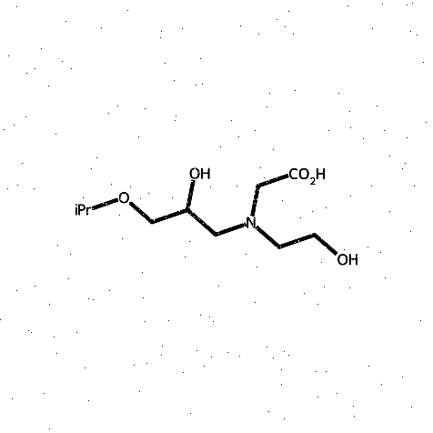 CC(C)OCC(O)CN(CCO)CC(=O)O